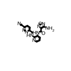 N#Cc1ccc(CNc2ncccc2NC(=O)c2nonc2N)nn1